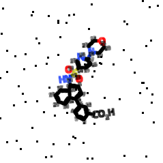 O=C(O)c1cccc(-c2ccc(NS(=O)(=O)c3ccc(N4CCOCC4)nc3)c3ccccc23)c1